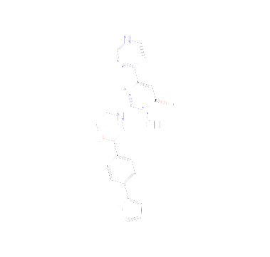 Cn1c(N2CCOC(c3ccc(-c4ccco4)cc3)C2)nc(-c2ccncn2)cc1=O